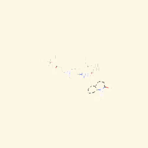 CC(C)(C)OC(=O)CCN1CCC(NC[C@H](O[Si](C)(C)C(C)(C)C)c2ccc(O)c3[nH]c(=O)ccc23)CC1